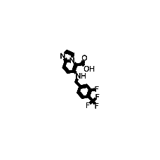 O=C(O)c1c(NCc2ccc(C(F)(F)F)c(F)c2)ccc2nccn12